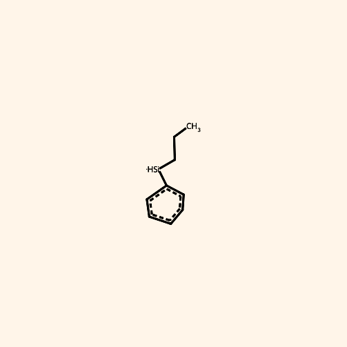 CCC[SiH]c1ccccc1